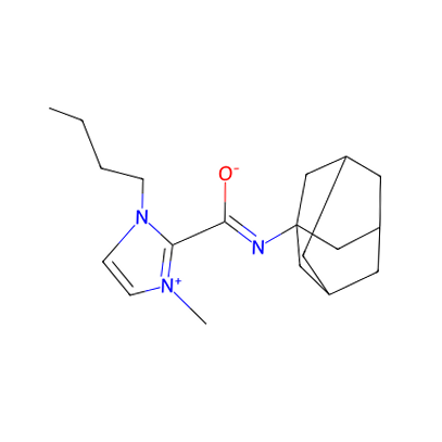 CCCCn1cc[n+](C)c1/C([O-])=N/C12CC3CC(CC(C3)C1)C2